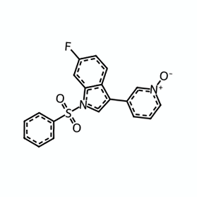 O=S(=O)(c1ccccc1)n1cc(-c2ccc[n+]([O-])c2)c2ccc(F)cc21